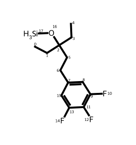 CCC(CC)(CCc1cc(F)c(F)c(F)c1)O[SiH3]